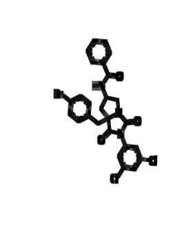 O=C(NC1CN2C(=O)N(c3cc(Cl)cc(Cl)c3)C(=O)C2(Cc2ccc(Br)cc2)C1)c1ccccc1